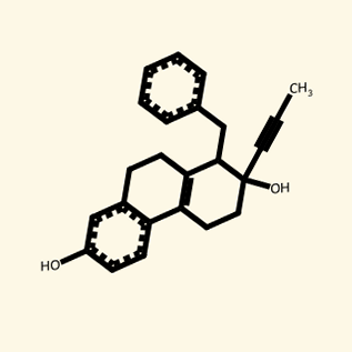 CC#CC1(O)CCC2=C(CCc3cc(O)ccc32)C1Cc1ccccc1